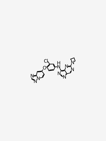 Clc1cc(Nc2ncnc3cnc(N4CCC4)nc23)ccc1Oc1ccn2ncnc2c1